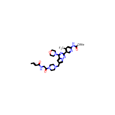 C/C=C/C(=O)NCC(=O)N1CCN(Cc2cc3c(N4CCOCC4)nc(-c4cnc(NC(=O)OC)cc4C(F)(F)F)nn3c2)CC1